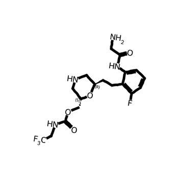 NCC(=O)Nc1cccc(F)c1CC[C@@H]1CNC[C@@H](COC(=O)NCC(F)(F)F)O1